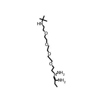 CC/C(N)=C/N(N)CCOCCOCCOCCOCCNC(C)(C)C